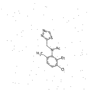 CCc1c(Cl)ccc(C)c1N(Cc1nncs1)C(C)=O